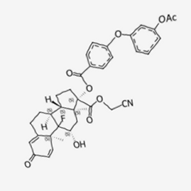 CC(=O)Oc1cccc(Oc2ccc(C(=O)O[C@@]3(C(=O)OCC#N)CC[C@H]4[C@@H]5CCC6=CC(=O)C=C[C@]6(C)C5(F)[C@@H](O)C[C@@]43C)cc2)c1